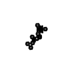 C1=CC2C(c3ccccc3N2c2ccc3c4ccccc4c4ccccc4c3c2)c2c1oc1cc(-c3nc(-c4ccccc4)nc(-c4ccccc4)n3)ccc21